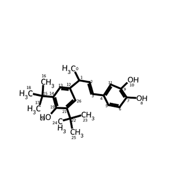 CC(/C=C/c1ccc(O)c(O)c1)c1cc(C(C)(C)C)c(O)c(C(C)(C)C)c1